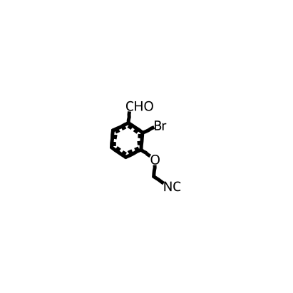 [C-]#[N+]COc1cccc(C=O)c1Br